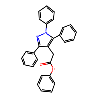 O=C(Cc1c(-c2ccccc2)nn(-c2ccccc2)c1-c1ccccc1)Oc1ccccc1